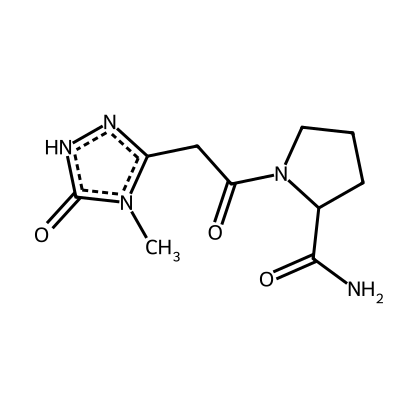 Cn1c(CC(=O)N2CCCC2C(N)=O)n[nH]c1=O